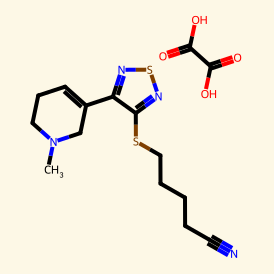 CN1CCC=C(c2nsnc2SCCCCC#N)C1.O=C(O)C(=O)O